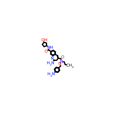 CCCN(OCc1ccc(N)cc1)C(=O)C1=Cc2ccc(C(=O)NC3CCC(O)C3)cc2N=C(N)C1